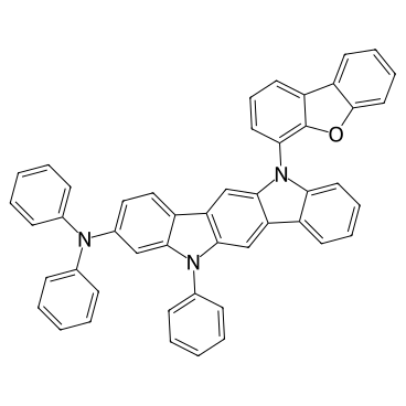 c1ccc(N(c2ccccc2)c2ccc3c4cc5c(cc4n(-c4ccccc4)c3c2)c2ccccc2n5-c2cccc3c2oc2ccccc23)cc1